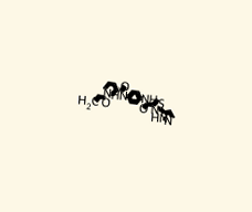 C=CC(=O)N1CCC[C@H](C(=O)Nc2ccc(NC(=O)c3csc(-c4ccn[nH]4)n3)cc2)C1